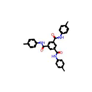 Cc1ccc(NC(=O)c2cc(C(=O)Nc3ccc(C)cc3)cc(C(=O)Nc3ccc(C)cc3)c2)cc1